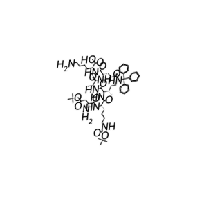 CC[C@H](C)[C@H](NC(=O)[C@H](CCCCNC(=O)OC(C)(C)C)NC(=O)[C@@H](N)CC(=O)OC(C)(C)C)C(=O)N[C@@H](C)C(=O)N[C@@H](CCC(=O)NC(c1ccccc1)(c1ccccc1)c1ccccc1)C(=O)N[C@@H](CCCCN)C(=O)O